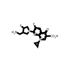 NCC1CN(c2nc3c(cc2F)c(=O)c(C(=O)O)cn3C2CC2)CC1F